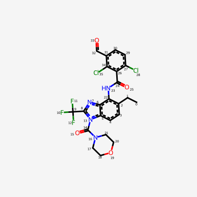 CCc1ccc2c(nc(C(F)(F)F)n2C(=O)N2CCOCC2)c1NC(=O)c1c(Cl)ccc(C=O)c1Cl